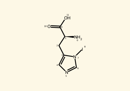 N[C@@H](Cc1cncn1I)C(=O)O